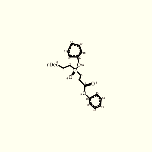 CCCCCCCCCCCCP(=O)(CCC(=O)Oc1ccccc1)Oc1ccccc1